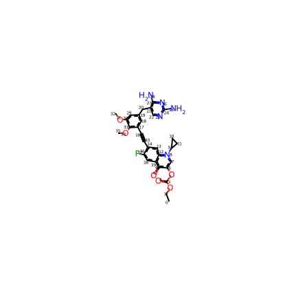 CCOC(=O)Oc1cn(C2CC2)c2cc(C#Cc3cc(Cc4cnc(N)nc4N)cc(OC)c3OC)c(F)cc2c1=O